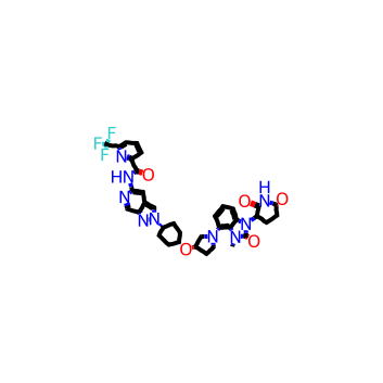 Cn1c(=O)n(C2CCC(=O)NC2=O)c2cccc(N3CCC(O[C@H]4CC[C@H](n5cc6cc(NC(=O)c7cccc(C(F)(F)F)n7)ncc6n5)CC4)C3)c21